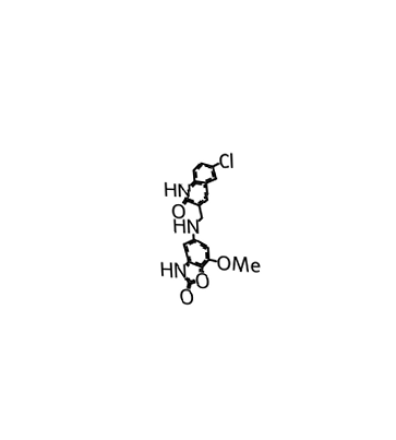 COc1cc(NCc2cc3cc(Cl)ccc3[nH]c2=O)cc2[nH]c(=O)oc12